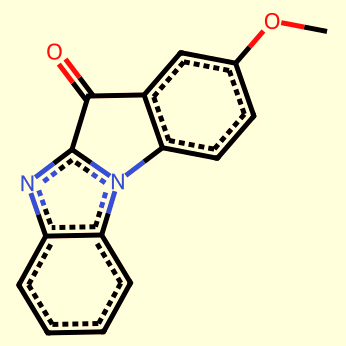 COc1ccc2c(c1)C(=O)c1nc3ccccc3n1-2